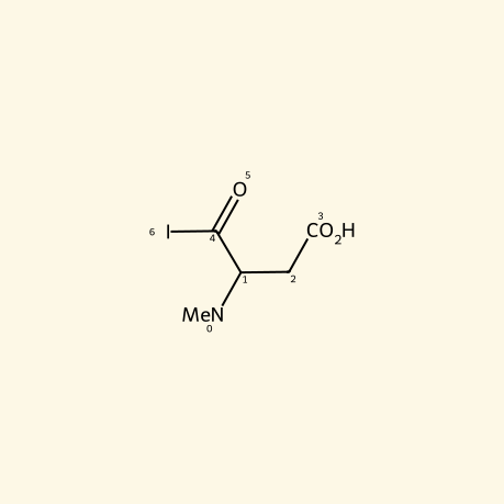 CNC(CC(=O)O)C(=O)I